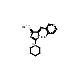 Cl.Nc1ccncc1C=C1SC(N2CCCCC2)=NC1=O